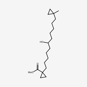 COC(=O)C1(CCCCCC(O)CCCCCC2(C)CC2)CC1